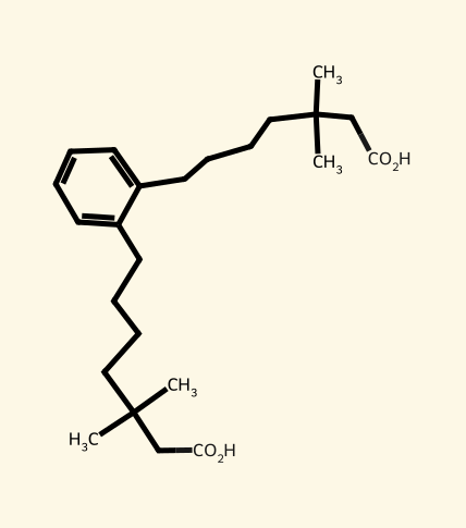 CC(C)(CCCCc1ccccc1CCCCC(C)(C)CC(=O)O)CC(=O)O